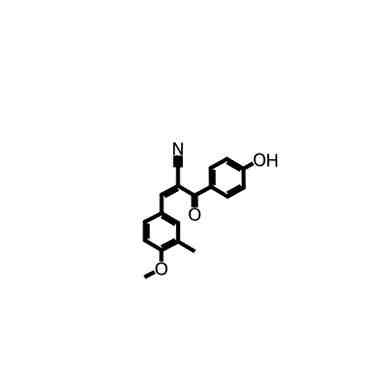 COc1ccc(C=C(C#N)C(=O)c2ccc(O)cc2)cc1C